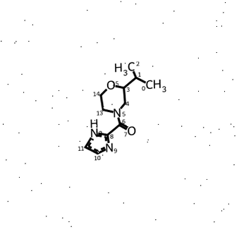 CC(C)C1CN(C(=O)c2ncc[nH]2)CCO1